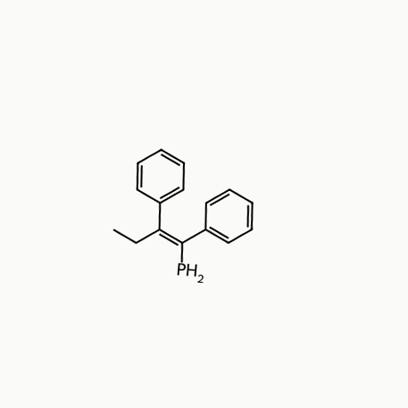 CCC(=C(P)c1ccccc1)c1ccccc1